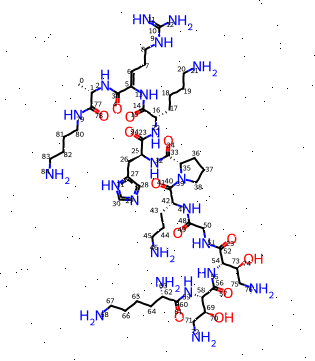 C[C@H](NC(=O)/C(=C/CCNC(=N)N)NC(=O)[C@H](CCCCN)NC(=O)[C@H](Cc1cnc[nH]1)NC(=O)[C@@H]1CCCN1C(=O)[C@@H](CCCN)NC(=O)CNC(=O)[C@@H](NC(=O)[C@@H](NC(=O)[C@@H](N)CCCCN)[C@@H](O)CN)[C@@H](O)CN)C(=O)NCCCCN